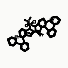 CC(C)CC1=Cc2c(ccc(C(C)C)c2-c2ccccc2-c2ccccc2)[CH]1[Zr]([Cl])([Cl])([CH]1C(CC(C)C)=Cc2c1ccc(C(C)C)c2-c1ccccc1-c1ccccc1)[SiH](C)C